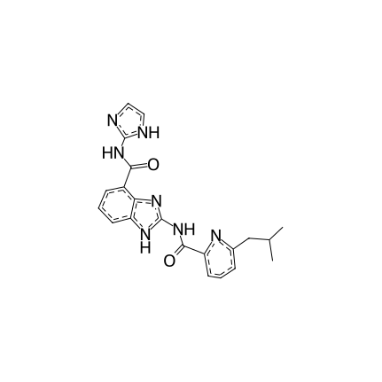 CC(C)Cc1cccc(C(=O)Nc2nc3c(C(=O)Nc4ncc[nH]4)cccc3[nH]2)n1